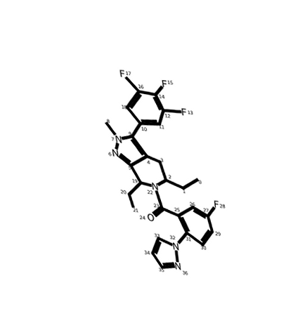 CCC1Cc2c(nn(C)c2-c2cc(F)c(F)c(F)c2)C(CC)N1C(=O)c1cc(F)ccc1-n1cccn1